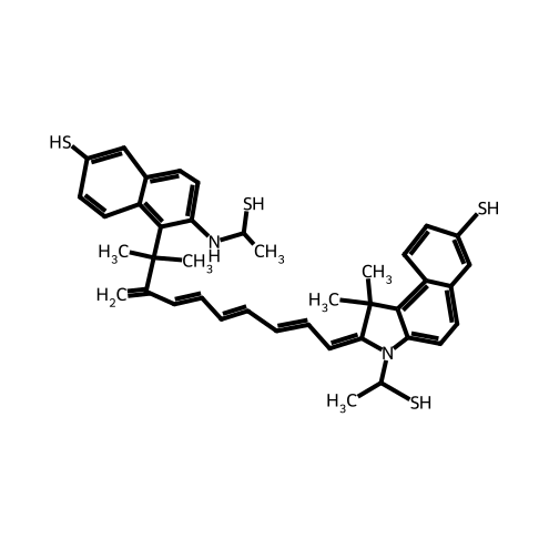 C=C(/C=C/C=C/C=C/C=C1/N(C(C)S)c2ccc3cc(S)ccc3c2C1(C)C)C(C)(C)c1c(NC(C)S)ccc2cc(S)ccc12